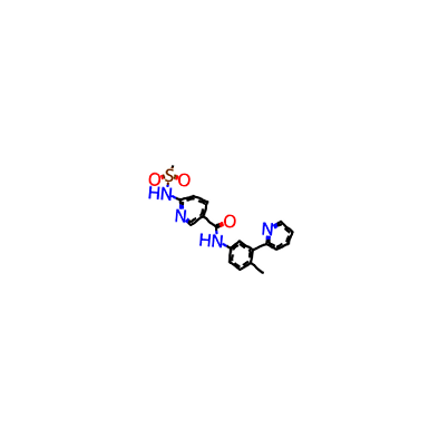 Cc1ccc(NC(=O)c2ccc(NS(C)(=O)=O)nc2)cc1-c1ccccn1